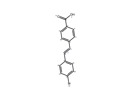 O=C(O)c1ccc(/C=C/c2ccc(Br)cc2)cc1